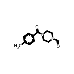 Cc1ccc(C(=O)N2CCN([C]=O)CC2)cc1